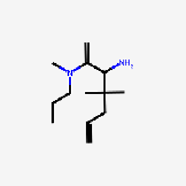 C=CCC(C)(C)C(N)C(=C)N(C)CCC